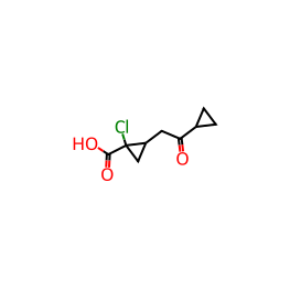 O=C(CC1CC1(Cl)C(=O)O)C1CC1